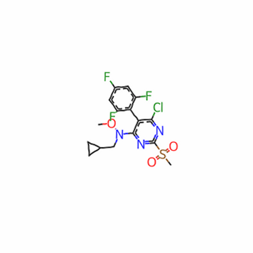 CON(CC1CC1)c1nc(S(C)(=O)=O)nc(Cl)c1-c1c(F)cc(F)cc1F